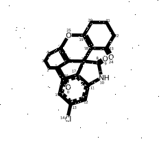 O=C1CCCC2=C1C1(C(=O)Nc3cc(Cl)ccc31)C1=C(CCCC1=O)O2